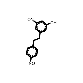 O=Nc1ccc(CCc2cc(O)cc(N=O)c2)cc1